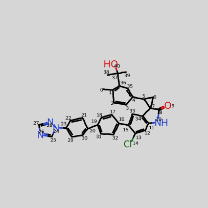 Cc1ccc(C2CC23C(=O)Nc2cc(Cl)c(-c4ccc(-c5ccc(-n6cncn6)cc5)cc4)cc23)cc1C(C)(C)O